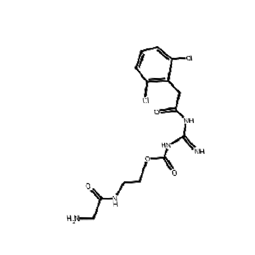 N=C(NC(=O)Cc1c(Cl)cccc1Cl)NC(=O)OCCNC(=O)CN